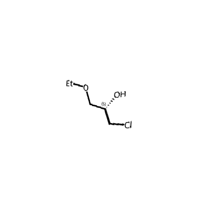 CCOC[C@H](O)CCl